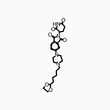 O=C1CCC(N2C(=O)c3ccc(N4CCN(CCCCCC5OCCO5)CC4)cc3C2=O)C(=O)N1